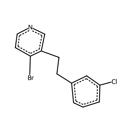 Clc1cccc(CCc2cnccc2Br)c1